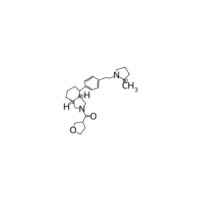 C[C@@H]1CCCN1CCc1ccc(C2CCC[C@@H]3CN(C(=O)C4CCOC4)C[C@H]23)cc1